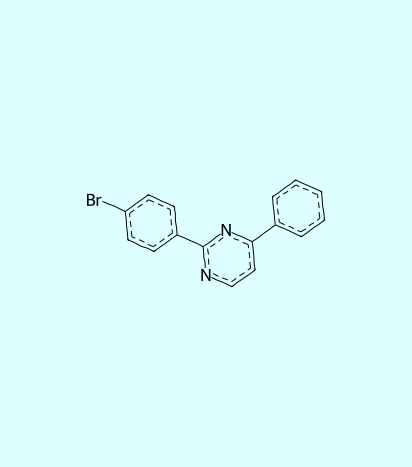 Brc1ccc(-c2nccc(-c3ccccc3)n2)cc1